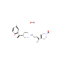 CCc1c(CCN2CCC(c3coc4ccc(Br)cc34)CC2)sc2c1CCN(C(C)=O)C2.O=C(O)C(=O)O